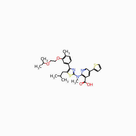 Cc1ccc(-c2nc(N(C)c3ncc(-c4cccs4)cc3C(=O)O)sc2CC(C)C)cc1OCCOC(C)C